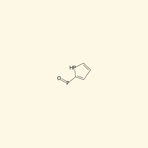 O=Pc1ccc[pH]1